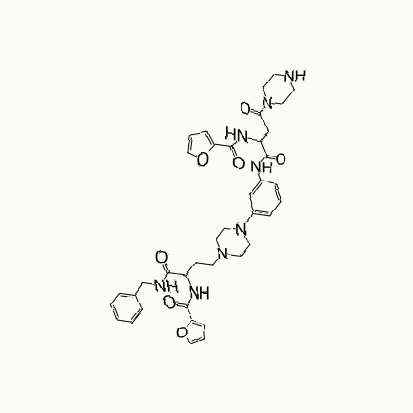 O=C(NC(CCN1CCN(c2cccc(NC(=O)C(CC(=O)N3CCNCC3)NC(=O)c3ccco3)c2)CC1)C(=O)NCc1ccccc1)c1ccco1